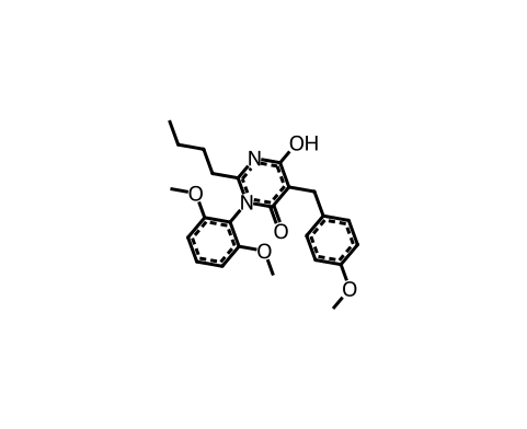 CCCCc1nc(O)c(Cc2ccc(OC)cc2)c(=O)n1-c1c(OC)cccc1OC